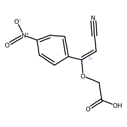 N#C/C=C(/OCC(=O)O)c1ccc([N+](=O)[O-])cc1